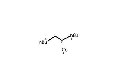 [CH2]CCCCCCCCC.[Ce]